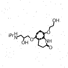 CC(C)NCC(O)COc1ccc(OCCO)c2c1CCC(=O)N2